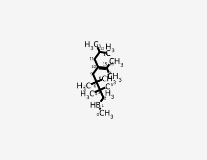 CBCC(C)(C)C(C)(C)CC(CC(C)C)=C(C)C